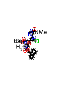 CNC(=O)c1cc(-c2cc(C3CN(C(=O)OC(C)(C)C)CC(CN(C)C(=O)OCC4c5ccccc5-c5ccccc54)O3)cc(Cl)n2)ncn1